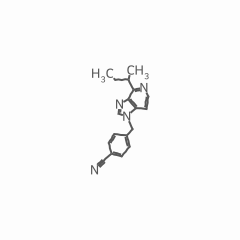 CCC(C)c1nccc2c1ncn2Cc1ccc(C#N)cc1